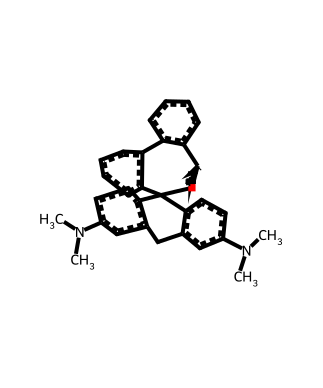 CN(C)c1ccc2c(c1)Cc1cc(N(C)C)ccc1C21c2ccccc2-c2ccccc2-c2ccccc21